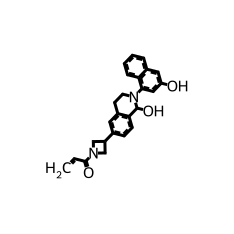 C=CC(=O)N1CC(c2ccc3c(c2)CCN(c2cc(O)cc4ccccc24)C3O)C1